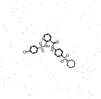 O=C(Nc1ccc(S(=O)(=O)N2CCCCC2)cc1)c1cccnc1NS(=O)(=O)c1ccc(Cl)cc1